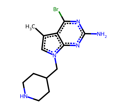 Cc1cn(CC2CCNCC2)c2nc(N)nc(Br)c12